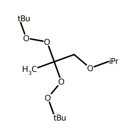 CC(C)OCC(C)(OOC(C)(C)C)OOC(C)(C)C